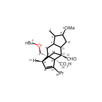 CCCCOC[C@@]12CC3C(C)C(OC)CC3[C@@]3(C=O)C[C@@H]1C=C(C(C)C)[C@@]23C(=O)O